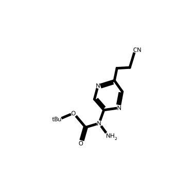 CC(C)(C)OC(=O)N(N)c1cnc(CCC#N)cn1